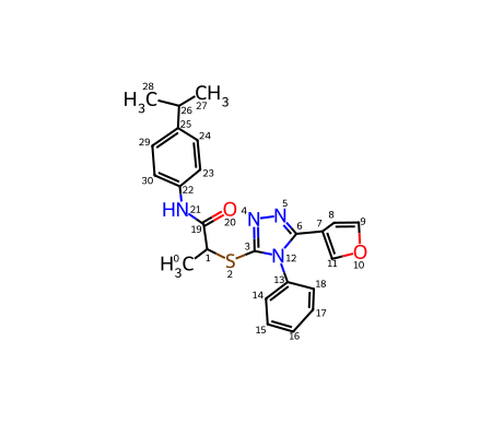 CC(Sc1nnc(-c2ccoc2)n1-c1ccccc1)C(=O)Nc1ccc(C(C)C)cc1